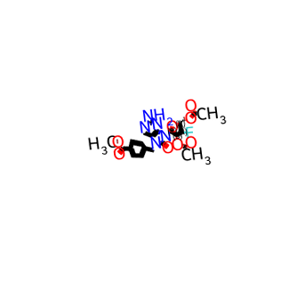 COC(=O)c1ccc(Cn2c(=O)n([C@@H]3O[C@H](COC(C)=O)[C@@H](F)[C@H]3OC(C)=O)c3nc(N)ncc32)cc1